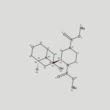 CC(C)(C)OC(=O)N1CCN(C(=O)OC(C)(C)C)[C@@H](CN2C3COC[C@@H]2CC(O)C3)C1